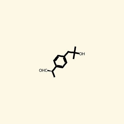 C[C@@H](C=O)c1ccc(CC(C)(C)O)cc1